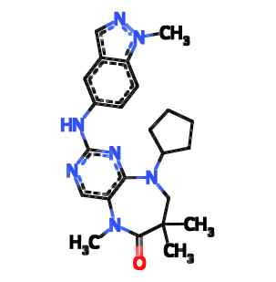 CN1C(=O)C(C)(C)CN(C2CCCC2)c2nc(Nc3ccc4c(cnn4C)c3)ncc21